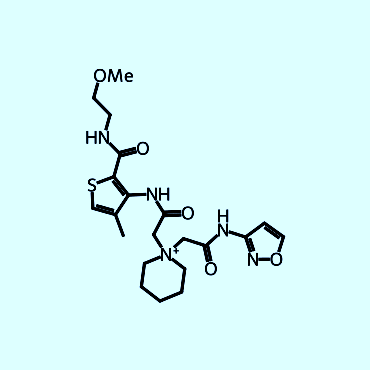 COCCNC(=O)c1scc(C)c1NC(=O)C[N+]1(CC(=O)Nc2ccon2)CCCCC1